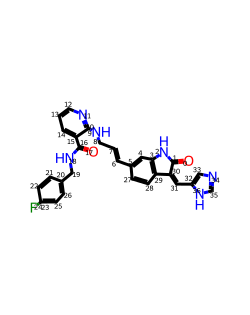 O=C1Nc2cc(C=CCNc3ncccc3C(=O)NCc3ccc(F)cc3)ccc2C1=Cc1cnc[nH]1